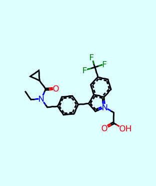 CCN(Cc1ccc(-c2cn(CC(=O)O)c3ccc(C(F)(F)F)cc23)cc1)C(=O)C1CC1